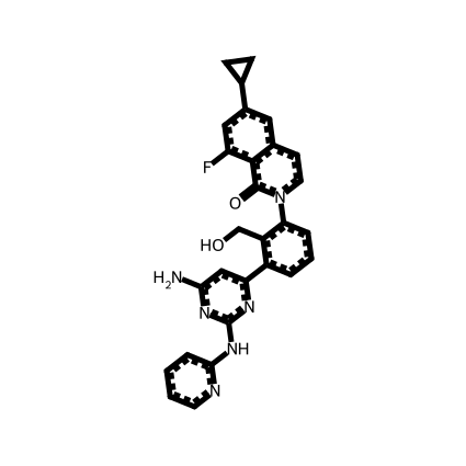 Nc1cc(-c2cccc(-n3ccc4cc(C5CC5)cc(F)c4c3=O)c2CO)nc(Nc2ccccn2)n1